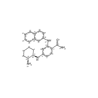 NC(=O)c1ccc(N[C@@H]2CCCC[C@@H]2N)nc1Nc1ccc2cnccc2c1